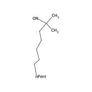 CCCCCCCCCCC(C)(C)N=O